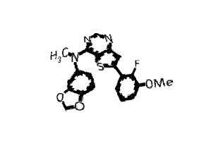 COc1cccc(-c2cc3ncnc(N(C)c4ccc5c(c4)OCO5)c3s2)c1F